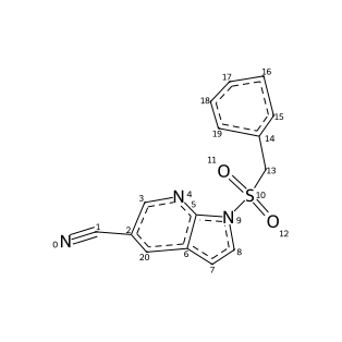 N#Cc1cnc2c(ccn2S(=O)(=O)Cc2ccccc2)c1